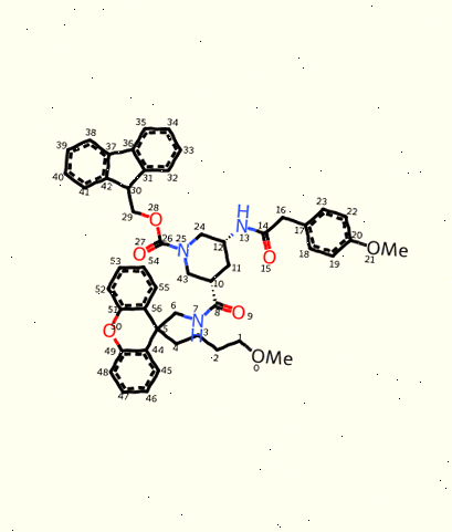 COCCCCC1(CNC(=O)[C@H]2C[C@@H](NC(=O)Cc3ccc(OC)cc3)CN(C(=O)OCC3c4ccccc4-c4ccccc43)C2)c2ccccc2Oc2ccccc21